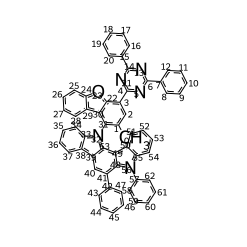 Cc1cc(-c2nc(-c3ccccc3)nc(-c3ccccc3)n2)c2oc3ccccc3c2c1-n1c2ccccc2c2cc(-c3ccccc3)c3c(c4ccccc4n3-c3ccccc3)c21